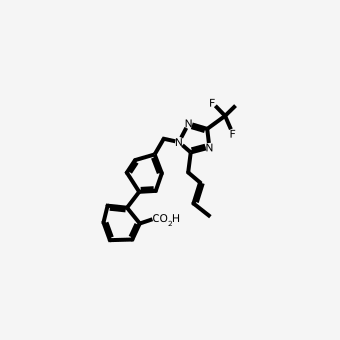 CC=CCc1nc(C(C)(F)F)nn1Cc1ccc(-c2ccccc2C(=O)O)cc1